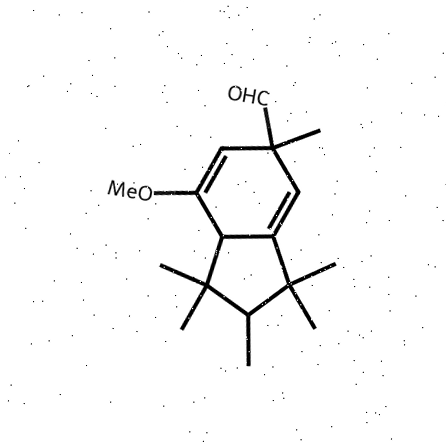 COC1=CC(C)(C=O)C=C2C1C(C)(C)C(C)C2(C)C